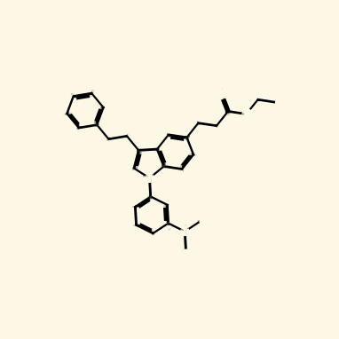 CCOC(=O)CCc1ccc2c(c1)c(CCc1ccccc1)cn2-c1cccc(N(C)C)c1